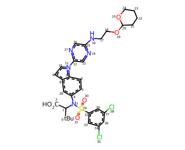 CC(C)(C)C(C(=O)O)N(c1ccc2c(ccn2-c2cnc(NCCOC3CCCCO3)cn2)c1)S(=O)(=O)c1cc(Cl)cc(Cl)c1